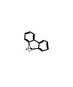 c1ccc2c(c1)O[SiH2]c1ccccc1-2